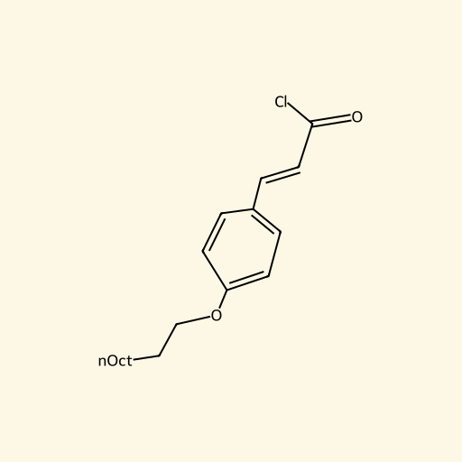 CCCCCCCCCCOc1ccc(/C=C/C(=O)Cl)cc1